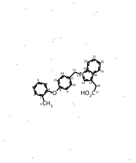 Cc1ccccc1Oc1ccc(Cn2cc(CC(=O)O)c3ccccc32)cc1